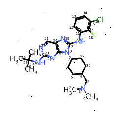 CN(C)C[C@H]1CC[C@H](n2c(Nc3cccc(Cl)c3F)nc3cnc(NC(C)(C)C)nc32)CC1